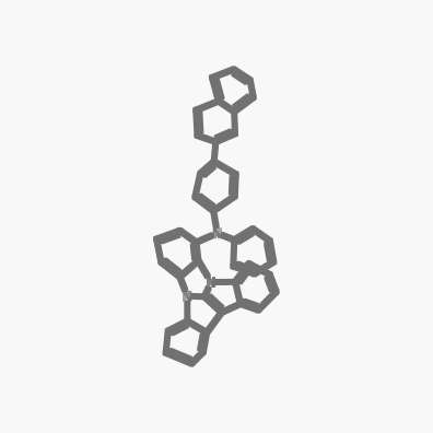 c1ccc(N(c2ccc(-c3ccc4ccccc4c3)cc2)c2cccc3c2n2c4ccccc4c4c5ccccc5n3c42)cc1